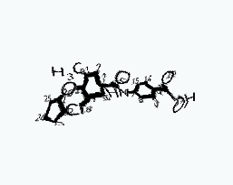 Cc1cc(C(=O)Nc2ccc(C(=O)O)cc2)cc(Cl)c1OC1CCCC1